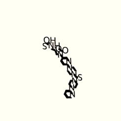 O=C1OC(CNC(O)=S)CN1c1ccc(N2CCN(C(=S)N3CCN(c4ccccn4)CC3)CC2)nc1